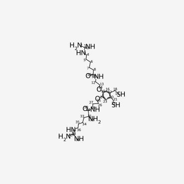 N=C(N)NCCCCCC(=O)NCCOc1cc(CS)c(CS)cc1OCCNC(=O)[C@@H](N)CCCCNC(=N)N